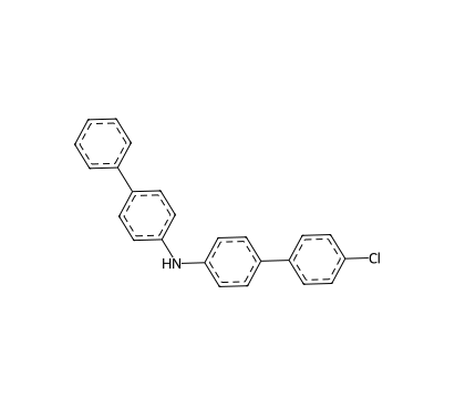 Clc1ccc(-c2ccc(Nc3ccc(-c4ccccc4)cc3)cc2)cc1